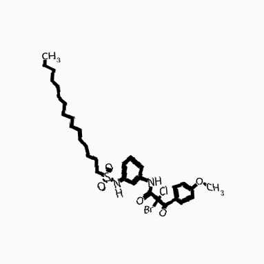 CCCCCCCCCCCCCCCCS(=O)(=O)Nc1cccc(NC(=O)C(Cl)(Br)C(=O)c2ccc(OC)cc2)c1